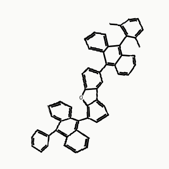 Cc1cccc(C)c1-c1c2ccccc2c(-c2ccc3oc4c(-c5c6ccccc6c(-c6ccccc6)c6ccccc56)cccc4c3c2)c2ccccc12